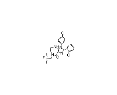 O=C1c2nc(-c3ccccc3Cl)n(-c3ccc(Cl)cc3)c2NCCN1CC(F)(F)F